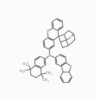 CC1(C)CCC(C)(C)c2cc(N(c3ccc4c(c3)C3C=CC=CC3S4)c3ccc4c(c3)C3(c5ccccc5S4)C4CC5CC6CC3C64C5)ccc21